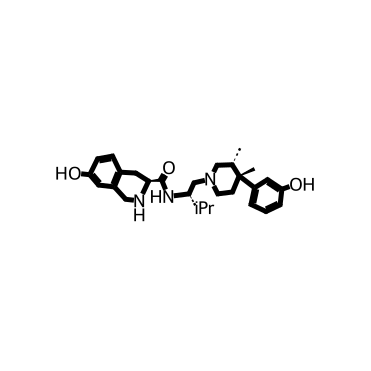 CC(C)[C@@H](CN1CC[C@@](C)(c2cccc(O)c2)[C@@H](C)C1)NC(=O)[C@@H]1Cc2ccc(O)cc2CN1